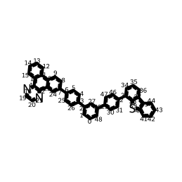 c1cc(-c2ccc(-c3ccc4c5ccccc5c5nccnc5c4c3)cc2)cc(-c2ccc(-c3cccc4c3sc3ccccc34)cc2)c1